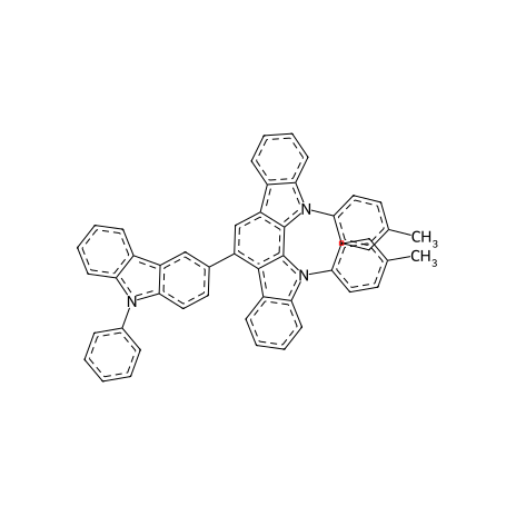 Cc1ccc(-n2c3ccccc3c3cc(-c4ccc5c(c4)c4ccccc4n5-c4ccccc4)c4c5ccccc5n(-c5ccc(C)cc5)c4c32)cc1